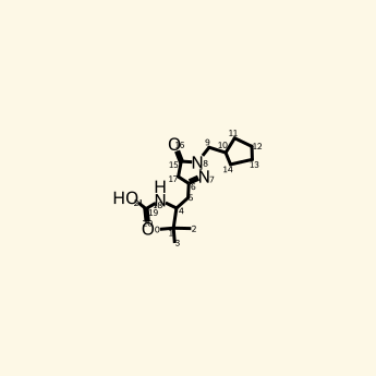 CC(C)(C)C(CC1=NN(CC2CCCC2)C(=O)C1)NC(=O)O